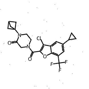 O=C(c1oc2c(C(F)(F)F)cc(C3CC3)cc2c1Cl)N1CCN(C23CC(C2)C3)C(=O)C1